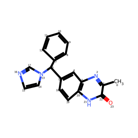 Cc1nc2cc(C(c3ccccc3)n3ccnc3)ccc2[nH]c1=O